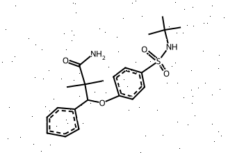 CC(C)(C)NS(=O)(=O)c1ccc(OC(c2ccccc2)C(C)(C)C(N)=O)cc1